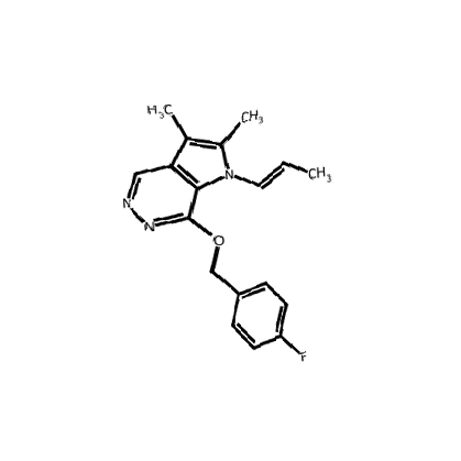 CC=Cn1c(C)c(C)c2cnnc(OCc3ccc(F)cc3)c21